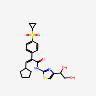 O=C(Nc1nc(C(O)CO)cs1)C(=CC1CCCC1)c1ccc(S(=O)(=O)C2CC2)cc1